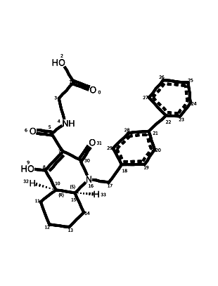 O=C(O)CNC(=O)C1=C(O)[C@@H]2CCCC[C@@H]2N(Cc2ccc(-c3ccccc3)cc2)C1=O